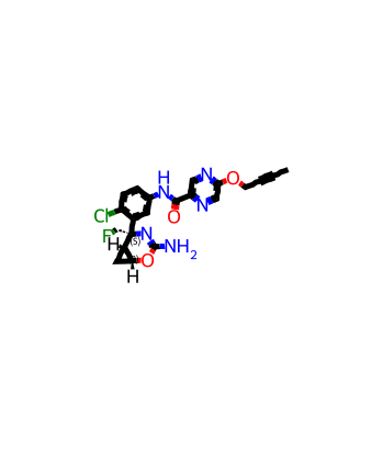 CC#CCOc1cnc(C(=O)Nc2ccc(Cl)c([C@@]3(CF)N=C(N)O[C@@H]4C[C@@H]43)c2)cn1